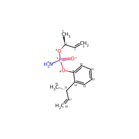 C=C[C@H](C)OP(N)(=O)Oc1ccccc1[C@@H](C)C=C